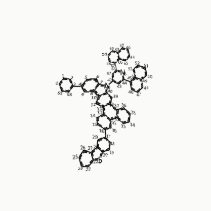 c1ccc(-c2ccc3c(c2)c2cc4c5ccc(-c6ccc7sc8ccccc8c7c6)cc5c5ccccc5c4cc2n3-c2cc(-c3cccc4ccccc34)nc(-c3cccc4ccccc34)c2)cc1